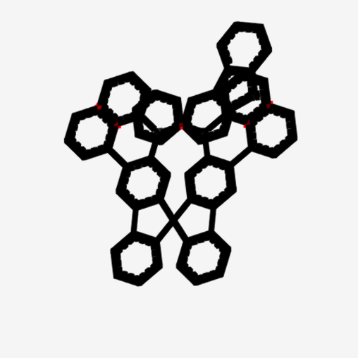 c1ccc(-c2cc3c(cc2N(c2ccccc2)c2ccccc2)C2(c4ccccc4-3)c3ccccc3-c3cc(-c4ccccc4)c(N(c4ccccc4)c4ccc5[nH]c6ccccc6c5c4)cc32)cc1